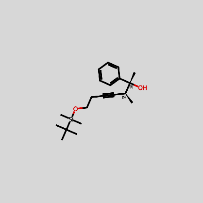 C[C@@H](C#CCCO[Si](C)(C)C(C)(C)C)[C@@](C)(O)c1ccccc1